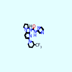 O=C(Nc1cnccn1)N1c2nc(N3CCCC(C(F)(F)F)C3)ccc2N2CCC[C@H]21